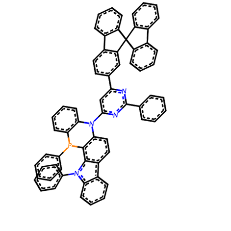 c1ccc(-c2nc(-c3ccc4c(c3)C3(c5ccccc5-c5ccccc53)c3ccccc3-4)cc(N3c4ccccc4P(c4ccccc4)c4c3ccc3c5ccccc5n(-c5ccccc5)c43)n2)cc1